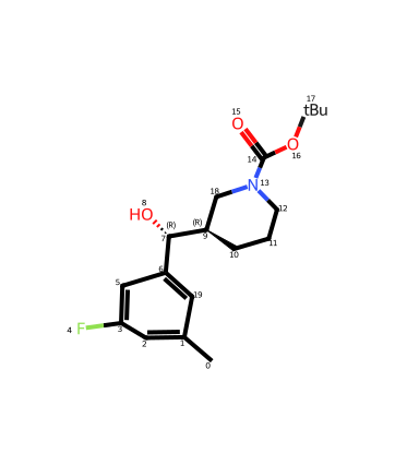 Cc1cc(F)cc([C@H](O)[C@@H]2CCCN(C(=O)OC(C)(C)C)C2)c1